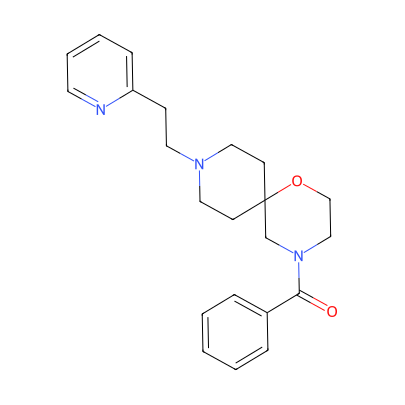 O=C(c1ccccc1)N1CCOC2(CCN(CCc3ccccn3)CC2)C1